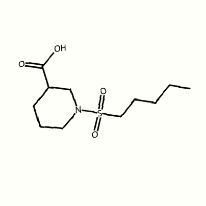 CCCCCS(=O)(=O)N1CCCC(C(=O)O)C1